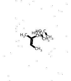 CC(=O)O.CC(=O)O.CC=C(C)C